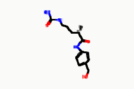 [2H][C@@H](CCCNC(N)=O)C(=O)Nc1ccc(CO)cc1